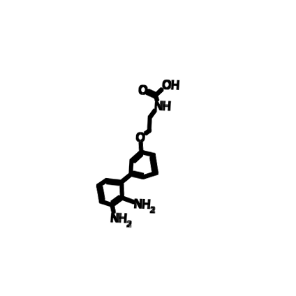 Nc1cccc(-c2cccc(OCCNC(=O)O)c2)c1N